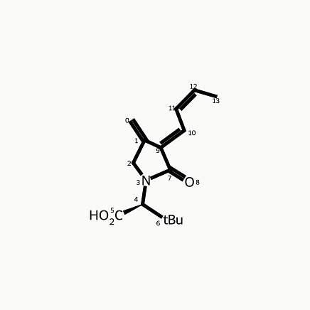 C=C1CN([C@H](C(=O)O)C(C)(C)C)C(=O)/C1=C/C=C\C